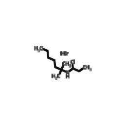 Br.CCCCCC(C)(C)NC(Cl)CC